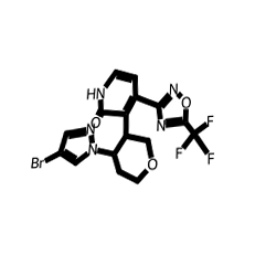 O=c1[nH]ccc(-c2noc(C(F)(F)F)n2)c1C1COCCC1n1cc(Br)cn1